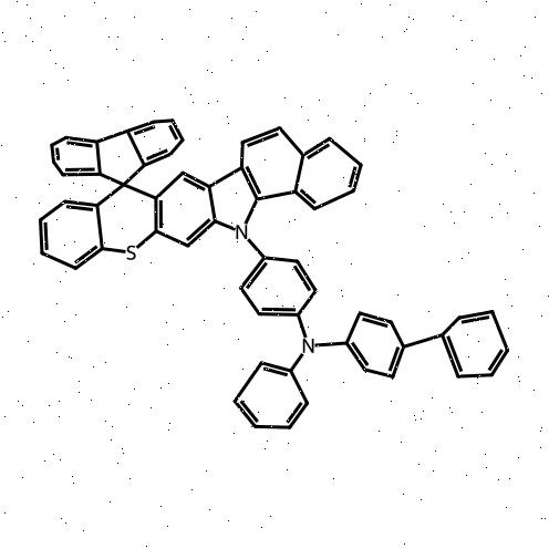 c1ccc(-c2ccc(N(c3ccccc3)c3ccc(-n4c5cc6c(cc5c5ccc7ccccc7c54)C4(c5ccccc5S6)c5ccccc5-c5ccccc54)cc3)cc2)cc1